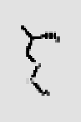 CC(N)CONC(C)C